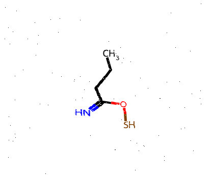 CCCC(=N)OS